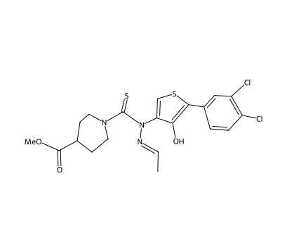 CC=NN(C(=S)N1CCC(C(=O)OC)CC1)c1csc(-c2ccc(Cl)c(Cl)c2)c1O